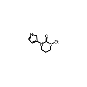 CCN1CCCN(C2=CC=NC2)C1=O